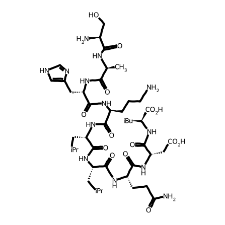 CC[C@H](C)[C@H](NC(=O)[C@H](CC(=O)O)NC(=O)[C@H](CCC(N)=O)NC(=O)[C@H](CC(C)C)NC(=O)[C@H](CC(C)C)NC(=O)[C@H](CCCN)NC(=O)[C@H](Cc1c[nH]cn1)NC(=O)[C@H](C)NC(=O)[C@@H](N)CO)C(=O)O